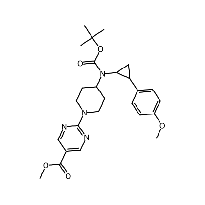 COC(=O)c1cnc(N2CCC(N(C(=O)OC(C)(C)C)C3CC3c3ccc(OC)cc3)CC2)nc1